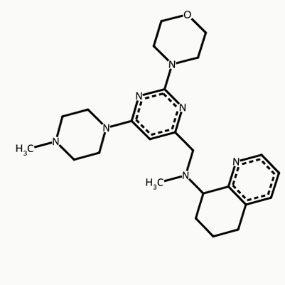 CN1CCN(c2cc(CN(C)C3CCCc4cccnc43)nc(N3CCOCC3)n2)CC1